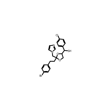 SC(c1ccc(Cl)cc1)C1COC(CCc2ccc(Br)cc2)(Cn2ccnc2)O1